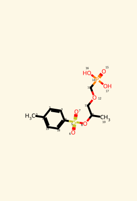 Cc1ccc(S(=O)(=O)OC(C)COCP(=O)(O)O)cc1